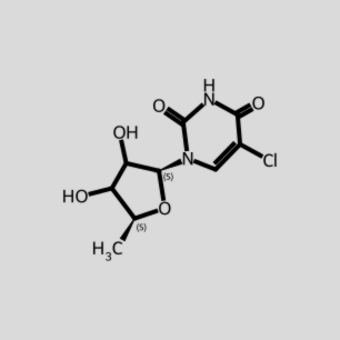 C[C@@H]1O[C@H](n2cc(Cl)c(=O)[nH]c2=O)C(O)C1O